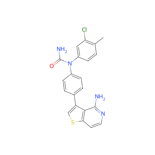 Cc1ccc(N(C(N)=O)c2ccc(-c3csc4ccnc(N)c34)cc2)cc1Cl